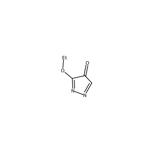 CCOC1=NN=CC1=O